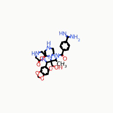 CC(NC(=O)c1ccc(C(=N)N)cc1)C(C(=O)O)(C(c1ccc2c(c1)OCO2)N1CCNCC1=O)N1CCNCC1=O